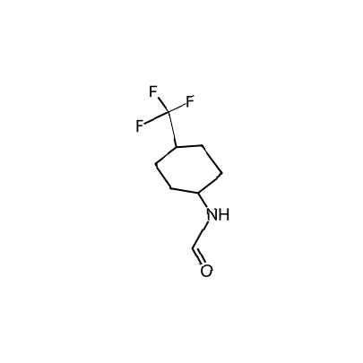 O=CNC1CCC(C(F)(F)F)CC1